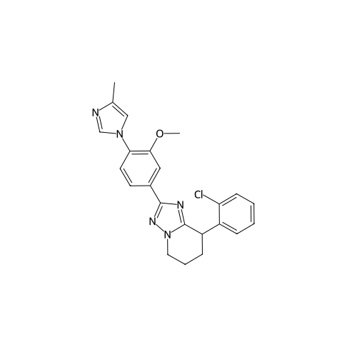 COc1cc(-c2nc3n(n2)CCCC3c2ccccc2Cl)ccc1-n1cnc(C)c1